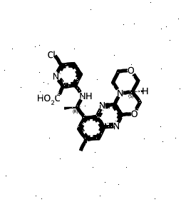 Cc1cc([C@@H](C)Nc2ccc(Cl)nc2C(=O)O)c2nc3c(nc2c1)OC[C@@H]1COCCN31